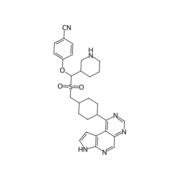 N#Cc1ccc(OC(C2CCCNC2)S(=O)(=O)CC2CCC(c3ncnc4cnc5[nH]ccc5c34)CC2)cc1